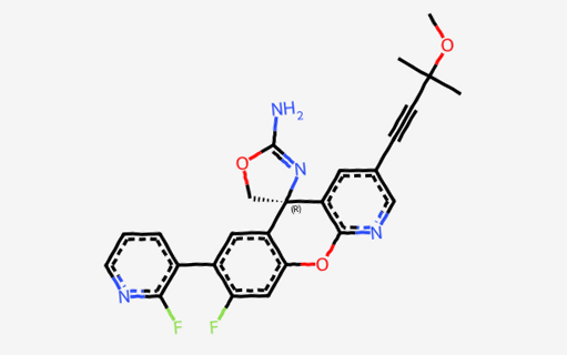 COC(C)(C)C#Cc1cnc2c(c1)[C@@]1(COC(N)=N1)c1cc(-c3cccnc3F)c(F)cc1O2